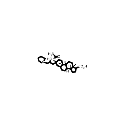 C[C@]12CCC(CC(O)CN3CCCCC3)(OC(N)=O)CC1CC[C@@H]1[C@@H]2CC[C@]2(C)C(C(=O)O)CC[C@@H]12